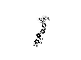 CC(C)(C)OC(=O)N1CCN(CC2CCN(c3cccc(NC4CCC(=O)NC4=O)c3)CC2)CC1